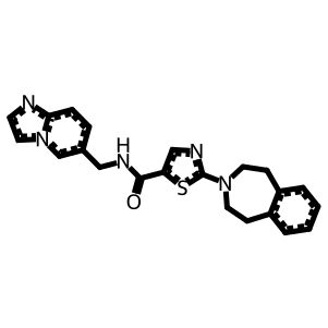 O=C(NCc1ccc2nccn2c1)c1cnc(N2CCc3ccccc3CC2)s1